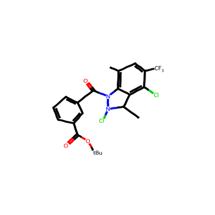 Cc1cc(C(F)(F)F)c(Cl)c2c1N(C(=O)c1cccc(C(=O)OC(C)(C)C)c1)N(Cl)C2C